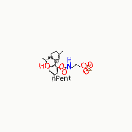 C=C(C)[C@@H]1CCC(C)=C[C@H]1c1c(O)cc(CCCCC)cc1OC(=O)NCCCOS(C)(=O)=O